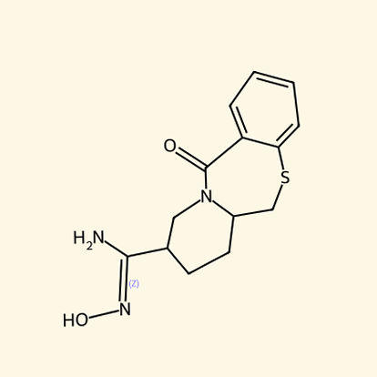 N/C(=N\O)C1CCC2CSc3ccccc3C(=O)N2C1